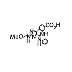 COCCNc1ncc2c(n1)C(Nc1ccccc1)Nc1cc(C(=O)O)ccc1-2